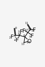 C=C(F)C(F)(F)C1(C(F)(F)C(=C)F)CO1